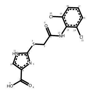 O=C(CSc1nc(C(=O)O)c[nH]1)Nc1c(Cl)cccc1Cl